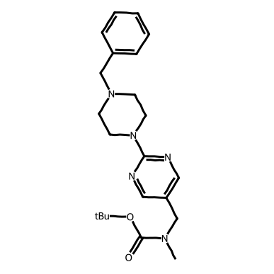 CN(Cc1cnc(N2CCN(Cc3ccccc3)CC2)nc1)C(=O)OC(C)(C)C